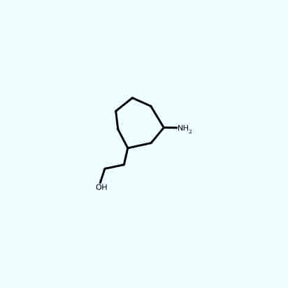 NC1CCCCC(CCO)C1